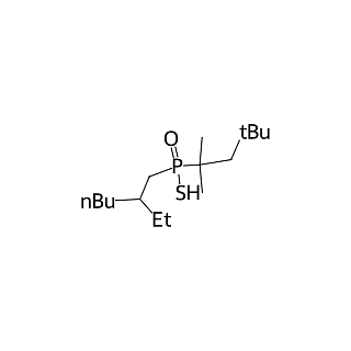 CCCCC(CC)CP(=O)(S)C(C)(C)CC(C)(C)C